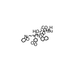 C[C@H]([C@H](CC=Cc1nc2ccccc2o1)c1ccc2c(c1)OCO2)N(Cc1ccc2ccccc2c1)C(=O)C(O)=C(CC(=O)O)C(=O)OC(C)(C)C